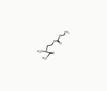 CCOC(=O)OCCN(C)C(C)=O